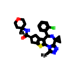 Cc1nnc2n1-c1sc3c(c1C(c1ccccc1Cl)=NC21CC1)C[C@H](C(=O)NC1(C)CCOCC1)C3